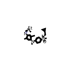 CCN(C)/C=N\c1cc(C)c(N(C)c2ccc(S(C)(=O)=NCC3CC3)cc2)cc1C